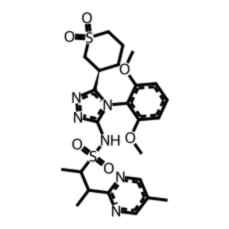 COc1cccc(OC)c1-n1c(NS(=O)(=O)C(C)C(C)c2ncc(C)cn2)nnc1[C@@H]1CCCS(=O)(=O)C1